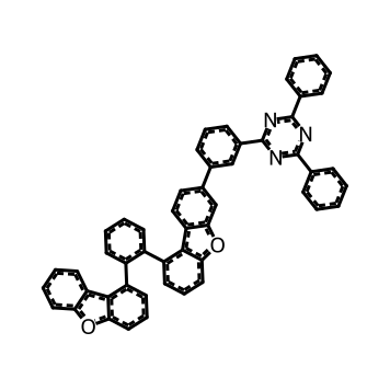 c1ccc(-c2nc(-c3ccccc3)nc(-c3cccc(-c4ccc5c(c4)oc4cccc(-c6ccccc6-c6cccc7oc8ccccc8c67)c45)c3)n2)cc1